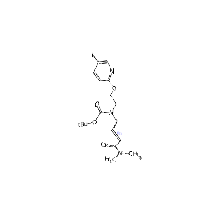 CN(C)C(=O)/C=C/CN(CCOc1ccc(I)cn1)C(=O)OC(C)(C)C